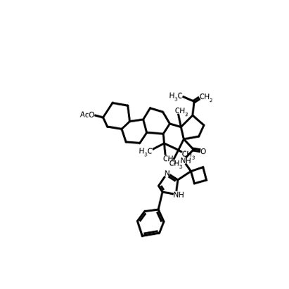 C=C(C)C1CCC2(C(=O)NC3(c4ncc(-c5ccccc5)[nH]4)CCC3)C1(C)C1CCC3C4CCC(OC(C)=O)CC4CCC3C1C(C)(C)C2(C)C